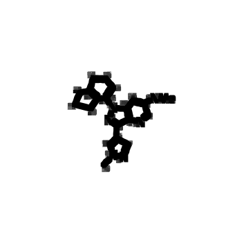 CNc1cnc2c(-c3cnn(C)c3)nn(-c3cccc4c3CCC4)c2c1